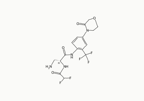 NC[C@@H](NC(=O)C(F)F)C(=O)Nc1ccc(N2CCOCC2=O)cc1C(F)(F)F